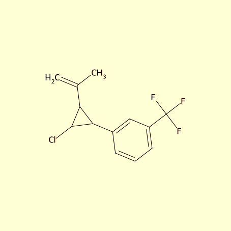 C=C(C)C1C(Cl)C1c1cccc(C(F)(F)F)c1